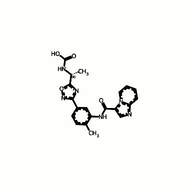 Cc1ccc(-c2noc([C@@H](C)NC(=O)O)n2)cc1NC(=O)c1cnc2ccccn12